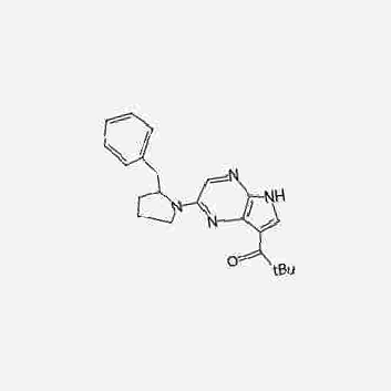 CC(C)(C)C(=O)c1c[nH]c2ncc(N3CCCC3Cc3ccccc3)nc12